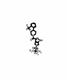 CC(C)(C)S(=O)(=O)N1Cc2[nH]nc(C(=O)N3CCC(c4ccccc4C(F)(F)F)CC3)c2C1